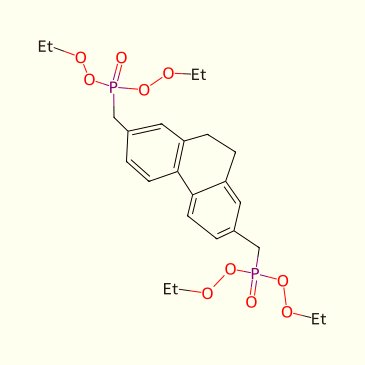 CCOOP(=O)(Cc1ccc2c(c1)CCc1cc(CP(=O)(OOCC)OOCC)ccc1-2)OOCC